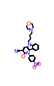 N#Cc1cc2c(c3ccccc3n2CCCCN2CCOCC2)n(-c2ccc([N+](=O)[O-])cc2)c1=O